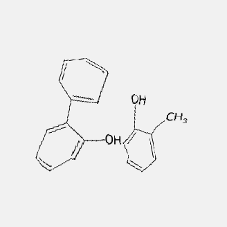 Cc1ccccc1O.Oc1ccccc1-c1ccccc1